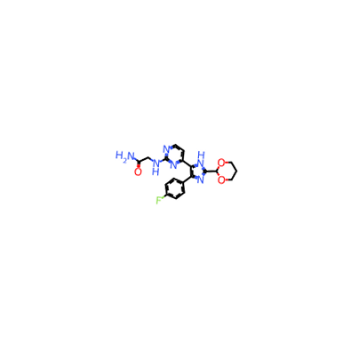 NC(=O)CNc1nccc(-c2[nH]c(C3OCCCO3)nc2-c2ccc(F)cc2)n1